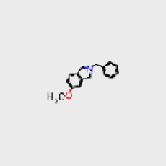 COc1ccc2c(c1)CN(Cc1ccccc1)C2